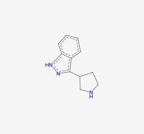 c1ccc2c(C3CCNC3)n[nH]c2c1